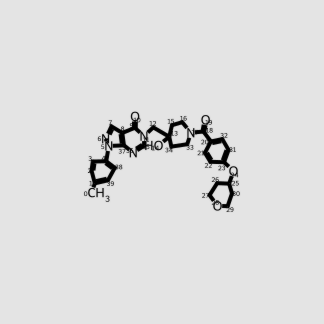 Cc1ccc(-n2ncc3c(=O)n(CC4(O)CCN(C(=O)c5ccc(OC6CCOCC6)cc5)CC4)cnc32)cc1